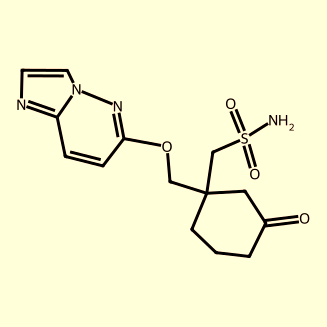 NS(=O)(=O)CC1(COc2ccc3nccn3n2)CCCC(=O)C1